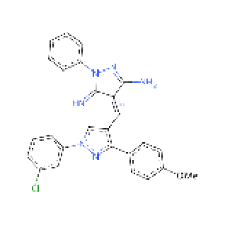 COc1ccc(-c2nn(-c3cccc(Cl)c3)cc2/C=C2\C(=N)N(c3ccccc3)N=C2N)cc1